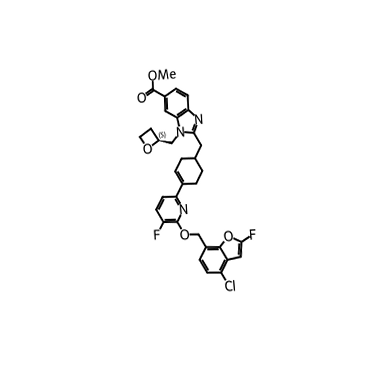 COC(=O)c1ccc2nc(CC3CC=C(c4ccc(F)c(OCc5ccc(Cl)c6cc(F)oc56)n4)CC3)n(C[C@@H]3CCO3)c2c1